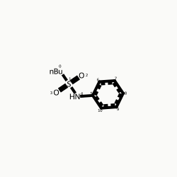 CCCCS(=O)(=O)Nc1ccccc1